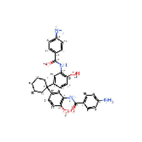 Nc1ccc(C(=O)Nc2cc(C3(c4ccc(O)c(NC(=O)c5ccc(N)cc5)c4)CCCCC3)ccc2O)cc1